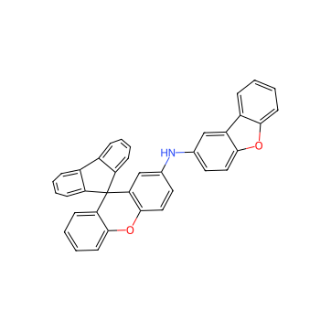 c1ccc2c(c1)Oc1ccc(Nc3ccc4oc5ccccc5c4c3)cc1C21c2ccccc2-c2ccccc21